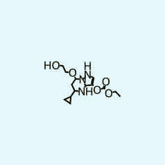 CCOC(=O)OC1=CNN2C(OCCO)CC(C3CC3)NC12